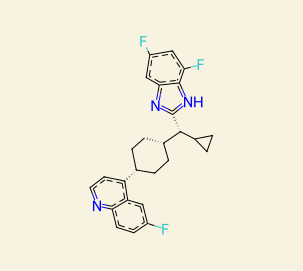 Fc1cc(F)c2[nH]c([C@H](C3CC3)[C@H]3CC[C@@H](c4ccnc5ccc(F)cc54)CC3)nc2c1